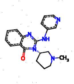 CN1CCC[C@H](n2c(Nc3cccnc3)nc3ccccc3c2=O)C1